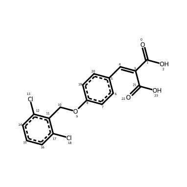 O=C(O)C(=Cc1ccc(OCc2c(Cl)cccc2Cl)cc1)C(=O)O